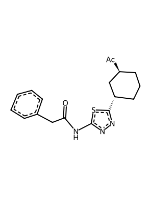 CC(=O)[C@H]1CCC[C@H](c2nnc(NC(=O)Cc3ccccc3)s2)C1